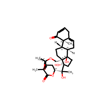 CC(=O)OC[C@]12CC[C@H]3[C@@H](CC=C4CC=CC(=O)[C@@]43C)[C@]1(O)CC[C@@]2(O)C(C)(O)[C@H]1CC(C)=C(C)C(=O)O1